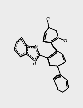 ClC1=C(C2=C(c3nc4ccccc4[nH]3)CC(C3=CCCC=C3)C=C2)C=CC(Cl)C1